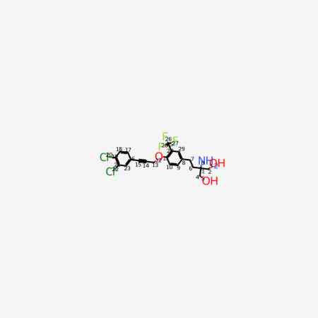 NC(CO)(CO)CCc1ccc(OCC#Cc2ccc(Cl)c(Cl)c2)c(C(F)(F)F)c1